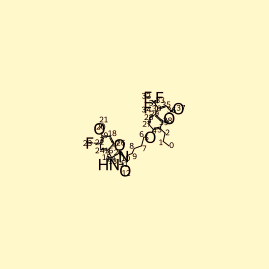 CCCc1c(OCCCCN2C(=O)NC(C)(c3ccc(OC)c(F)c3)C2=O)ccc2c(C(F)(F)F)cc(=O)oc12